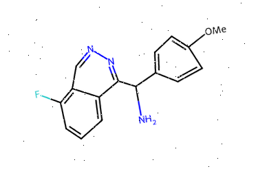 COc1ccc(C(N)c2nncc3c(F)cccc23)cc1